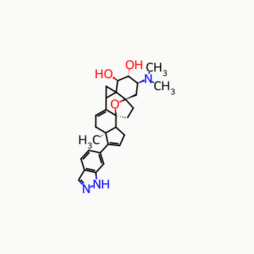 CN(C)[C@H]1C[C@@]23CC[C@@]4(O2)C(=CC[C@]2(C)C(c5ccc6cn[nH]c6c5)=CCC24)C2CC23[C@@H](O)[C@@H]1O